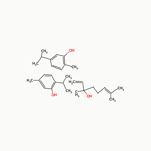 C=CC(C)(O)CCC=C(C)C.Cc1ccc(C(C)C)c(O)c1.Cc1ccc(C(C)C)cc1O